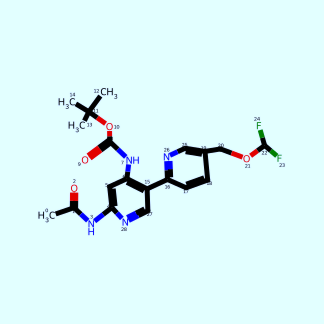 CC(=O)Nc1cc(NC(=O)OC(C)(C)C)c(-c2ccc(COC(F)F)cn2)cn1